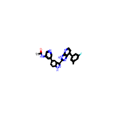 CCC(=O)Nc1cncc(-c2ccc3[nH]nc(-c4nc5c(-c6cc(C)cc(F)c6)ccnc5[nH]4)c3c2)c1